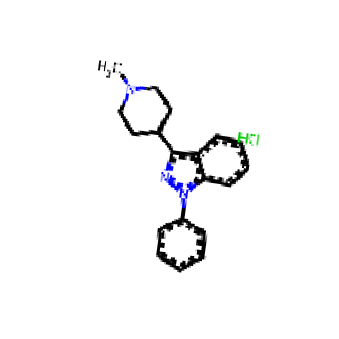 CN1CCC(c2nn(-c3ccccc3)c3ccccc23)CC1.Cl